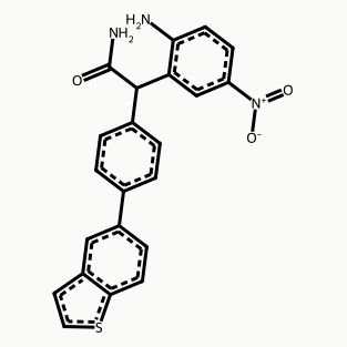 NC(=O)C(c1ccc(-c2ccc3sccc3c2)cc1)c1cc([N+](=O)[O-])ccc1N